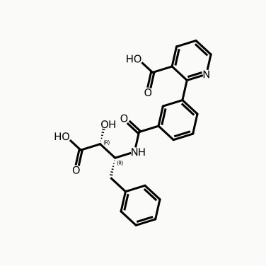 O=C(N[C@H](Cc1ccccc1)[C@@H](O)C(=O)O)c1cccc(-c2ncccc2C(=O)O)c1